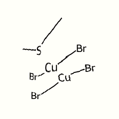 CSC.[Br][Cu][Br].[Br][Cu][Br]